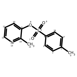 Cc1ccc(S(=O)(=O)Oc2cccnc2C)cc1